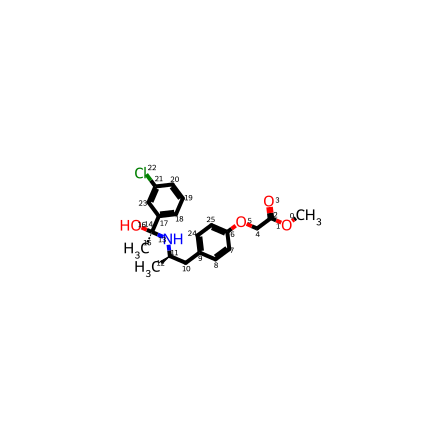 COC(=O)COc1ccc(C[C@@H](C)N[C@@](C)(O)c2cccc(Cl)c2)cc1